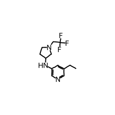 CCc1cncc(NC2CCN(CC(F)(F)F)C2)c1